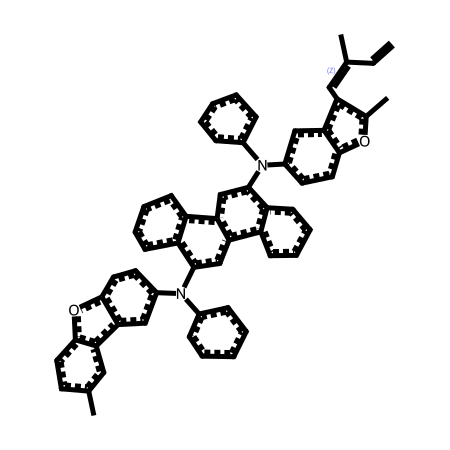 C=C/C(C)=C\c1c(C)oc2ccc(N(c3ccccc3)c3cc4c5ccccc5c(N(c5ccccc5)c5ccc6oc7ccc(C)cc7c6c5)cc4c4ccccc34)cc12